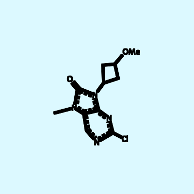 COC1CC(n2c(=O)n(C)c3cnc(Cl)nc32)C1